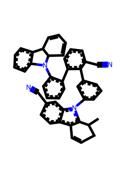 CC1CC=Cc2c1n(-c1cccc(-c3c(C#N)cccc3-c3ccccc3N3c4ccccc4C4C=CC=CC43)c1)c1cc(C#N)ccc21